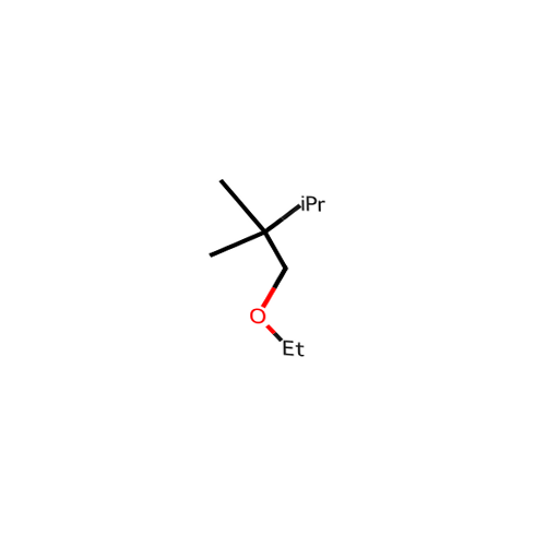 CCOCC(C)(C)C(C)C